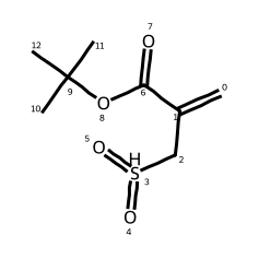 C=C(C[SH](=O)=O)C(=O)OC(C)(C)C